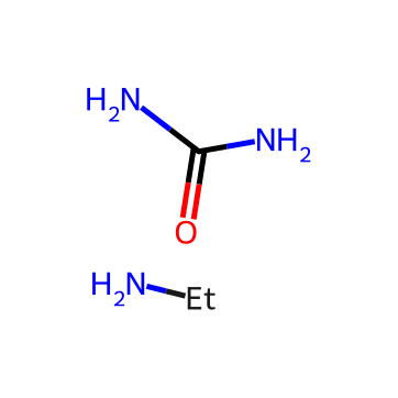 CCN.NC(N)=O